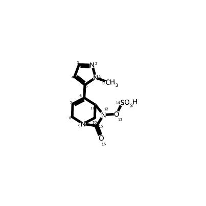 Cn1nccc1C1=CCN2CC1N(OS(=O)(=O)O)C2=O